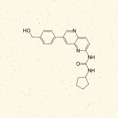 O=C(Nc1ccc2ncc(-c3ccc(CO)cc3)cc2n1)NC1CCCC1